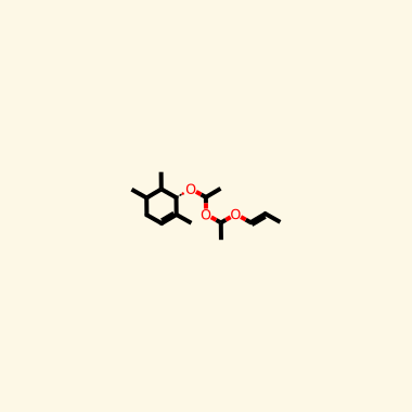 CC=COC(C)OC(C)O[C@@H]1C(C)=CCC(C)C1C